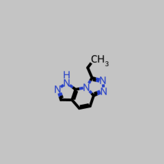 CCc1nnc2ccc3cn[nH]c3n12